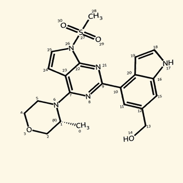 C[C@@H]1COCCN1c1nc(-c2cc(CO)cc3[nH]ccc23)nc2c1ccn2S(C)(=O)=O